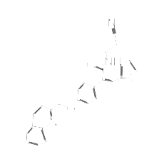 N#CCCNC(=O)C(=Cc1cccs1)c1ccc(OCc2ccc3ccccc3n2)cc1